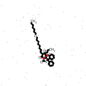 CCCCCCCOCCCCCC/C=C/C(C(=O)N1C(=O)SC(c2ccccc2)(c2ccccc2)[C@@H]1C(C)C)C(O)(CCC)C(=O)O